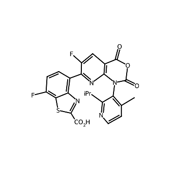 Cc1ccnc(C(C)C)c1-n1c(=O)oc(=O)c2cc(F)c(-c3ccc(F)c4sc(C(=O)O)nc34)nc21